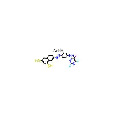 CC(=O)Nc1cc(Nc2nc(F)nc(F)c2I)ccc1/N=N/c1ccc2cc(S)cc(S)c2c1